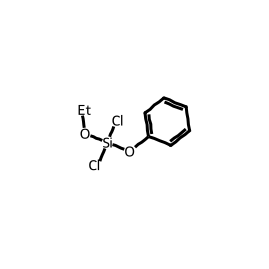 CCO[Si](Cl)(Cl)Oc1ccccc1